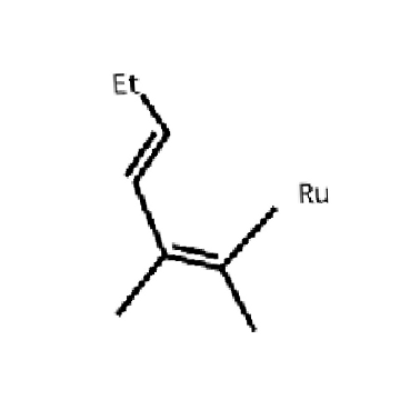 CC/C=C/C(C)=C(C)C.[Ru]